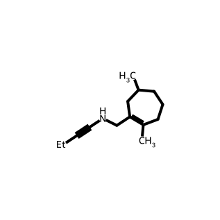 CCC#CNCC1=C(C)CCCC(C)C1